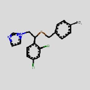 O=[N+]([O-])c1ccc(CSC(Cn2ccnc2)c2ccc(Cl)cc2Cl)cc1